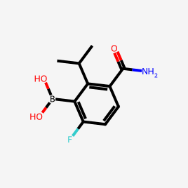 CC(C)c1c(C(N)=O)ccc(F)c1B(O)O